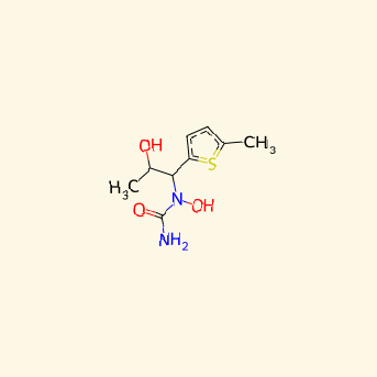 Cc1ccc(C(C(C)O)N(O)C(N)=O)s1